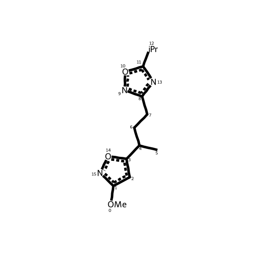 COc1cc(C(C)CCc2noc(C(C)C)n2)on1